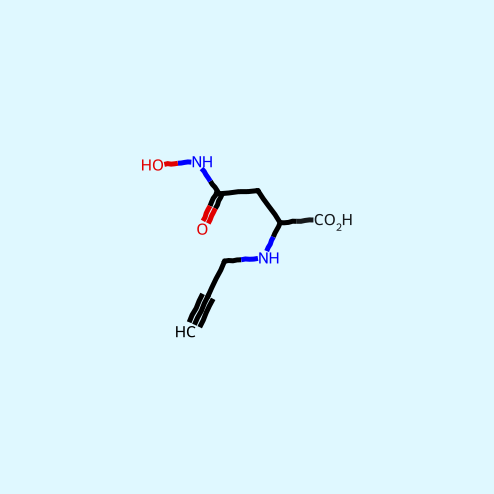 C#CCNC(CC(=O)NO)C(=O)O